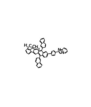 CC1(C)c2ccccc2-c2cc3c(-c4ccc5ccccc5c4)c4ccc(-c5ccc(-c6cn7ccccc7n6)cc5)cc4c(-c4ccc5ccccc5c4)c3cc21